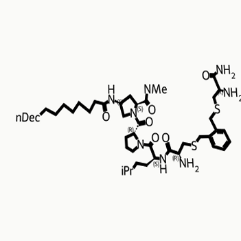 CCCCCCCCCCCCCCCCCC(=O)N[C@H]1C[C@@H](C(=O)NC)N(C(=O)[C@H]2CCCN2C(=O)[C@H](CCC(C)C)NC(=O)[C@@H](N)CSCc2ccccc2CSC[C@H](N)C(N)=O)C1